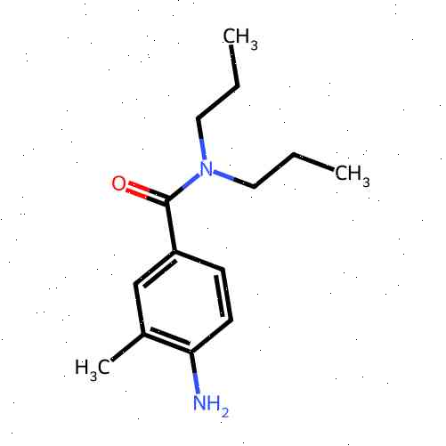 CCCN(CCC)C(=O)c1ccc(N)c(C)c1